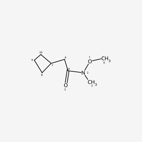 CON(C)C(=O)CC1CCC1